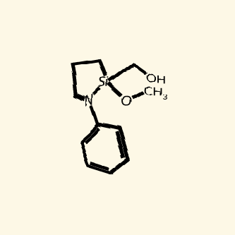 CO[Si]1(CO)CCCN1c1ccccc1